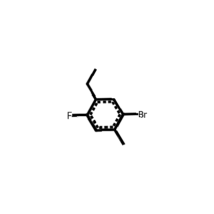 CCc1cc(Br)c(C)cc1F